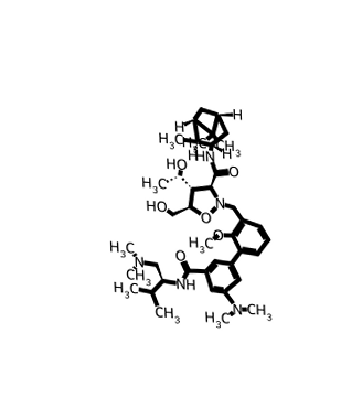 COc1c(CN2O[C@@H](CO)[C@H]([C@H](C)O)[C@H]2C(=O)N[C@H]2C[C@H]3C[C@@H]([C@@H]2C)C3(C)C)cccc1-c1cc(C(=O)N[C@H](CN(C)C)C(C)C)cc(N(C)C)c1